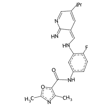 Cc1nc(C)c(C(=O)Nc2ccc(F)c(N/C=C3/C=C(C(C)C)C=NC3=N)c2)o1